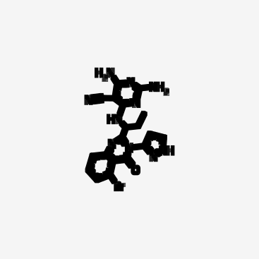 CCC(Nc1nc(N)nc(N)c1C#N)c1nc2cccc(Br)c2c(=O)n1-c1cc[nH]n1